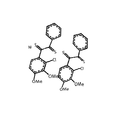 COc1ccc(C(=S)C(=S)c2ccccc2)c(Cl)c1OC.COc1ccc(C(=S)C(=S)c2ccccc2)c(Cl)c1OC.[Ni]